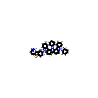 c1ccc(-n2c3ccccc3c3c2ccc2c4ccc5c(c6ccccc6n5-c5ccc6sc7cccnc7c6c5)c4n(-c4ccccc4)c23)cc1